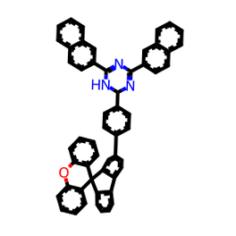 c1ccc2c(c1)Oc1ccccc1C21c2ccccc2-c2ccc(-c3ccc(C4N=C(c5ccc6ccccc6c5)N=C(c5ccc6ccccc6c5)N4)cc3)cc21